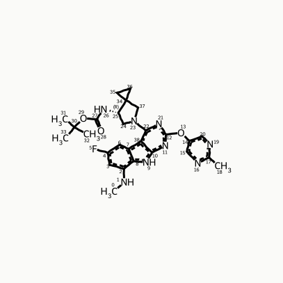 CNc1cc(F)cc2c1[nH]c1nc(Oc3cnc(C)nc3)nc(N3C[C@H](NC(=O)OC(C)(C)C)C4(CC4)C3)c12